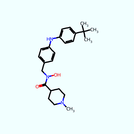 CN1CCC(C(=O)N(O)Cc2ccc(Nc3ccc(C(C)(C)C)cc3)cc2)CC1